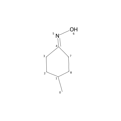 CC1CCC(=NO)CC1